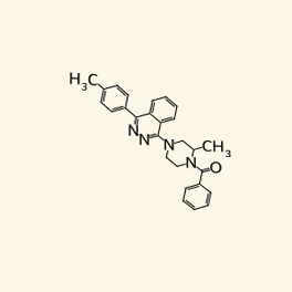 Cc1ccc(-c2nnc(N3CCN(C(=O)c4ccccc4)C(C)C3)c3ccccc23)cc1